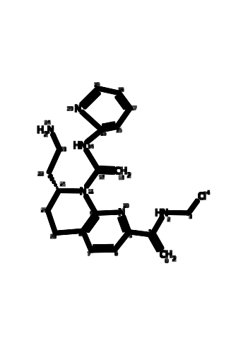 C=C(NCCl)c1ccc2c(n1)N(C(=C)Nc1ccccn1)[C@@H](CCN)CC2